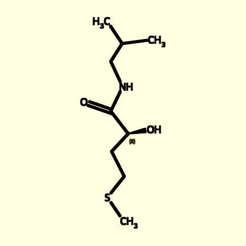 CSCC[C@H](O)C(=O)NCC(C)C